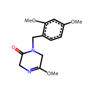 COC1=NCC(=O)N(Cc2ccc(OC)cc2OC)C1